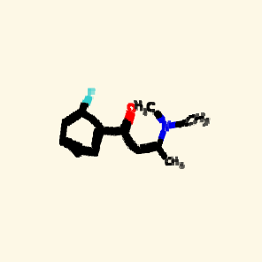 C/C(=C/C(=O)c1ccccc1F)N(C)C